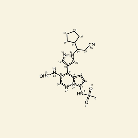 CS(=O)(=O)Nc1ccc2c(-c3cnn(C(CC#N)C4CCCC4)c3)c(NC=O)cnn12